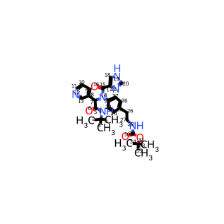 CC(C)(C)NC(=O)C(c1cccnc1)N(C(=O)c1c[nH]cn1)c1ccc(CCNC(=O)OC(C)(C)C)cc1